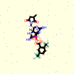 CC1CC(=O)N(C[C@@H]2NC(=N)N3C[C@H](OC(=O)c4cc(C(F)(F)F)ccc4C(F)(F)F)C(O)(O)[C@@]34NC(=N)N[C@@H]24)C1=O